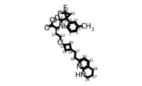 Cc1cccc(C2(C(=O)N[C@@H](CCOC3CC(CCc4ccc5c(n4)NCCC5)C3)C(=O)O)CC2(F)F)c1